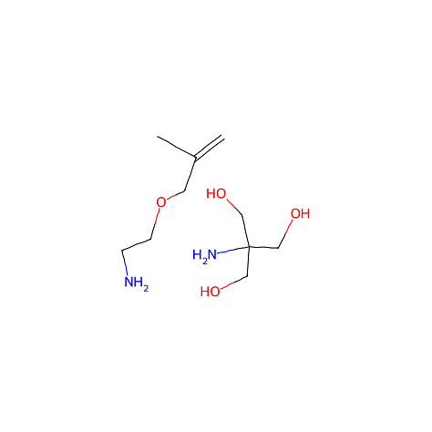 C=C(C)COCCN.NC(CO)(CO)CO